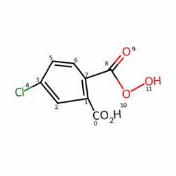 O=C(O)c1cc(Cl)ccc1C(=O)OO